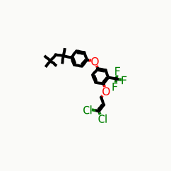 CC(C)(C)CC(C)(C)c1ccc(Oc2ccc(OCC=C(Cl)Cl)c(C(F)(F)F)c2)cc1